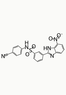 N#Cc1ccc(NS(=O)(=O)c2cccc(-c3nc4cccc([N+](=O)[O-])c4[nH]3)c2)cc1